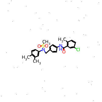 Cc1ccc(N(Cc2ccc(NC(=O)c3cc(Cl)ccc3C)cc2)S(C)(=O)=O)cc1C